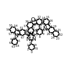 c1ccc(-c2nc(-c3ccc(-n4c5ccccc5c5cc6ccccc6cc54)c(-c4cccc5oc6ccc7ccccc7c6c45)c3)nc(-c3ccc4c5ccccc5n(-c5ccccc5)c4c3)n2)cc1